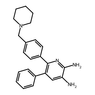 Nc1cc(-c2ccccc2)c(-c2ccc(CN3CCCCC3)cc2)nc1N